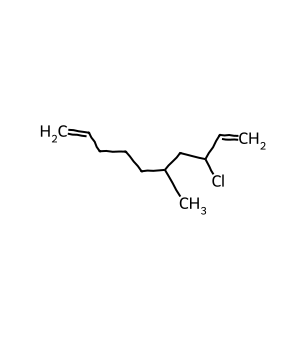 C=CCCCC(C)CC(Cl)C=C